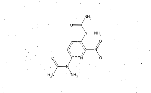 NC(=O)N(N)c1ccc(N(N)C(N)=O)c([N+](=O)[O-])n1